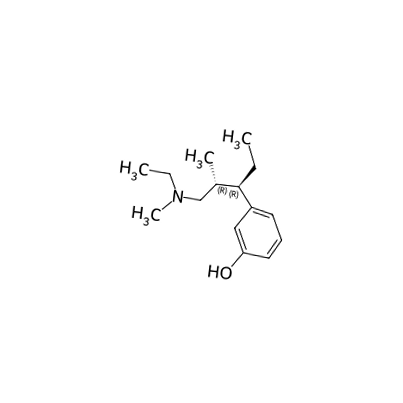 CC[C@@H](c1cccc(O)c1)[C@@H](C)CN(C)CC